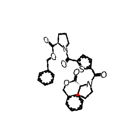 O=C(OCc1ccccc1)[C@H]1CCCN1C(=O)c1ccc(C(=O)N2CCC[C@@H]2C(=O)OCc2ccccc2)s1